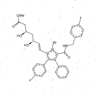 COC(=O)C[C@H](O)C[C@H](O)/C=C/c1c(-c2ccc(F)cc2)c(-c2ccccc2)c(C(=O)NCc2ccc(F)cc2)n1C(C)C